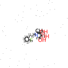 C[C@@H]1[C@@H](O)[C@H](O)[C@@H](O)CN1CCCc1ccccc1F